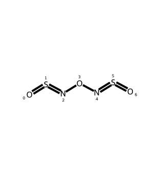 O=S=NON=S=O